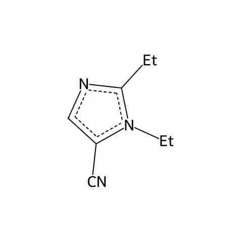 CCc1ncc(C#N)n1CC